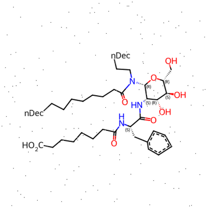 CCCCCCCCCCCCCCCCCC(=O)N(CCCCCCCCCCCC)[C@@H]1O[C@H](CO)[C@@H](O)[C@H](O)[C@@H]1NC(=O)[C@H](Cc1ccccc1)NC(=O)CCCCCCC(=O)O